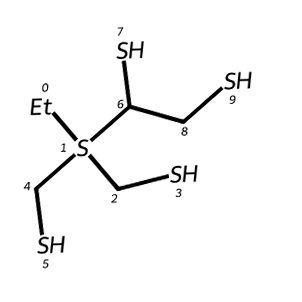 CCS(CS)(CS)C(S)CS